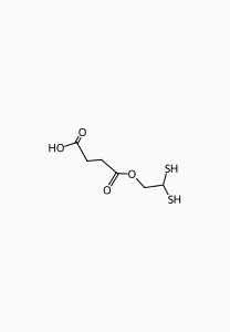 O=C(O)CCC(=O)OCC(S)S